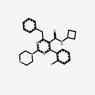 O=C(NC1CCC1)c1c(Cc2ccccc2)nc(N2CCOCC2)nc1-c1ccccc1F